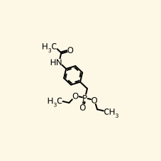 CCOP(=O)(Cc1ccc(NC(C)=O)cc1)OCC